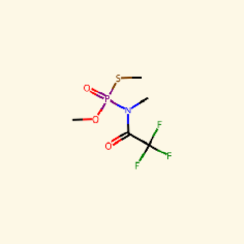 COP(=O)(SC)N(C)C(=O)C(F)(F)F